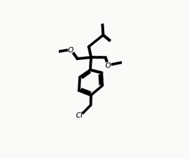 COCC(COC)(CC(C)C)c1ccc(CCl)cc1